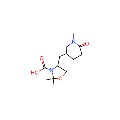 CN1CC(CC2COC(C)(C)N2C(=O)O)CCC1=O